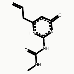 C=CCc1cc(=O)nc(NC(=O)NC)[nH]1